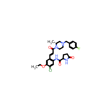 CCOc1cc(/C=C/C(=O)N2CCN(Cc3ccc(F)cc3)C[C@H]2C)c(NC(=O)C2CCC(=O)N2)cc1Cl